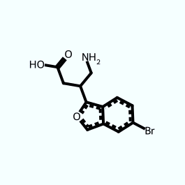 NCC(CC(=O)O)c1occ2cc(Br)ccc12